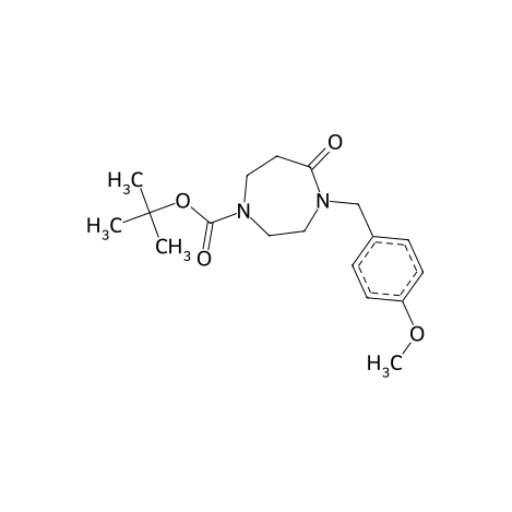 COc1ccc(CN2CCN(C(=O)OC(C)(C)C)CCC2=O)cc1